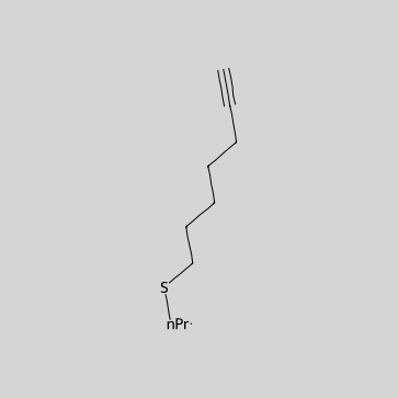 C#CCCCCCS[CH]CC